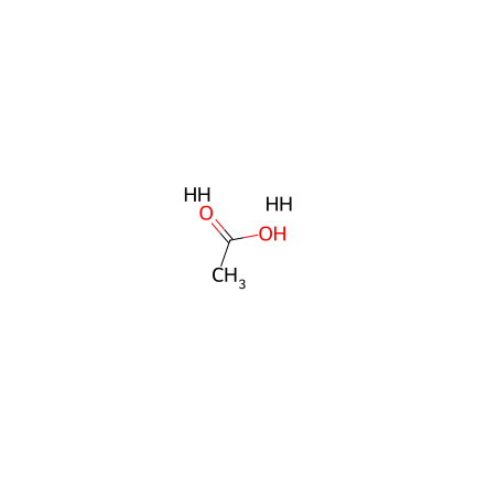 CC(=O)O.[HH].[HH]